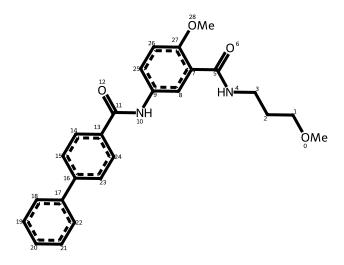 COCCCNC(=O)c1cc(NC(=O)c2ccc(-c3ccccc3)cc2)ccc1OC